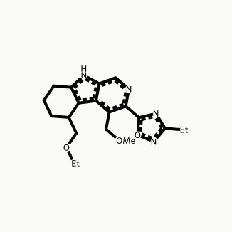 CCOCC1CCCc2[nH]c3cnc(-c4nc(CC)no4)c(COC)c3c21